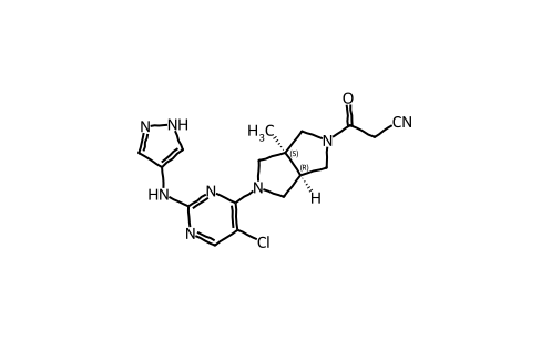 C[C@]12CN(C(=O)CC#N)C[C@H]1CN(c1nc(Nc3cn[nH]c3)ncc1Cl)C2